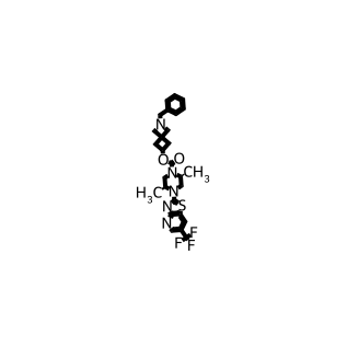 C[C@@H]1CN(c2nc3ncc(C(F)(F)F)cc3s2)[C@@H](C)CN1C(=O)OC1CC2(C1)CN(Cc1ccccc1)C2